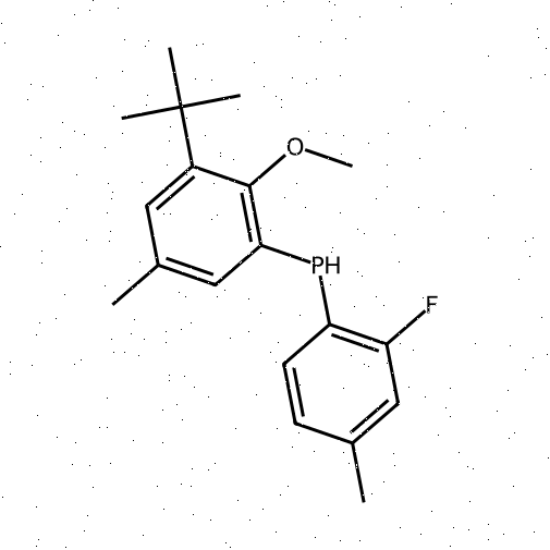 COc1c(Pc2ccc(C)cc2F)cc(C)cc1C(C)(C)C